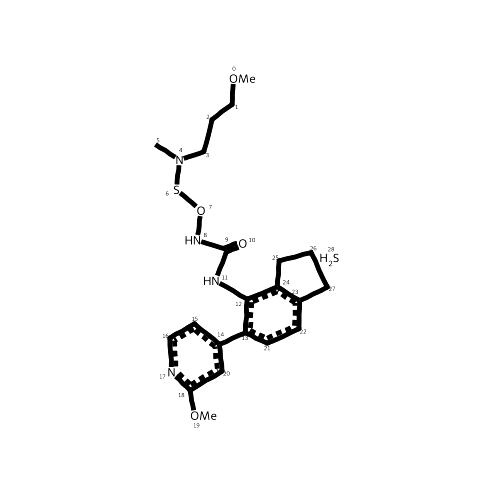 COCCCN(C)SONC(=O)Nc1c(-c2ccnc(OC)c2)ccc2c1CCC2.S